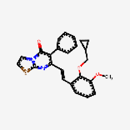 COc1cccc(C=Cc2nc3sccn3c(=O)c2-c2ccccc2)c1OCC1CC1